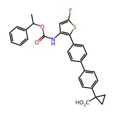 CC(OC(=O)Nc1cc(F)sc1-c1ccc(-c2ccc(C3(C(=O)O)CC3)cc2)cc1)c1ccccc1